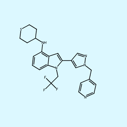 FC(F)(F)Cn1c(-c2cnn(Cc3ccncc3)c2)cc2c(NC3CCSCC3)cccc21